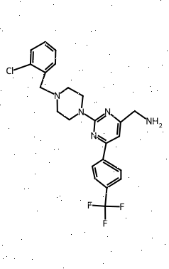 NCc1cc(-c2ccc(C(F)(F)F)cc2)nc(N2CCN(Cc3ccccc3Cl)CC2)n1